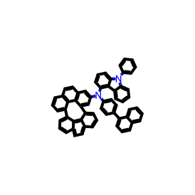 c1ccc(-n2c3ccccc3c3c(N(c4ccc(-c5cccc6ccccc56)cc4)c4cc5ccc6cccc7c8cccc9ccc%10cccc(c(c4)c5c67)c%10c98)cccc32)cc1